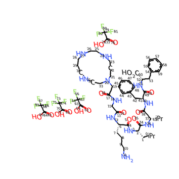 CC(C)C[C@H](NC(=O)[C@H](CCCCN)NC(=O)CNC(=O)CN1CCCNCCNCCCNCC1)C(=O)N[C@H](C(=O)N[C@@H](Cc1ccccc1)C(=O)N[C@@H](Cc1ccccc1)C(=O)O)C(C)C.O=C(O)C(F)(F)F.O=C(O)C(F)(F)F.O=C(O)C(F)(F)F.O=C(O)C(F)(F)F